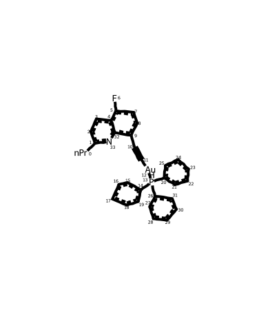 CCCc1ccc2c(F)ccc(C#[C][Au][PH](c3ccccc3)(c3ccccc3)c3ccccc3)c2n1